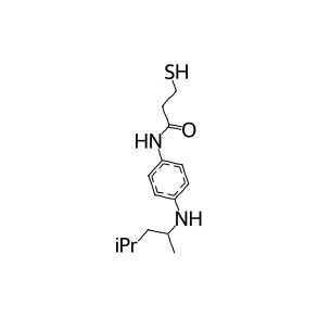 CC(C)CC(C)Nc1ccc(NC(=O)CCS)cc1